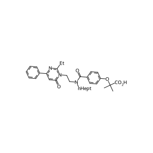 CCCCCCCN(CCn1c(CC)nc(-c2ccccc2)cc1=O)C(=O)c1ccc(OC(C)(C)C(=O)O)cc1